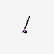 CCCCCCCCCCCCCCO[N+](CC)(CC)CCC